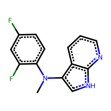 CN(c1ccc(F)cc1F)c1c[nH]c2ncccc12